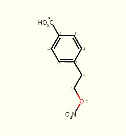 O=C(O)c1ccc(CCO[N+](=O)[O-])cc1